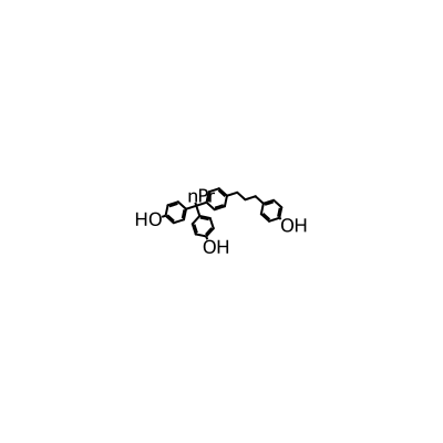 CCCC(c1ccc(O)cc1)(c1ccc(O)cc1)c1ccc(CCCc2ccc(O)cc2)cc1